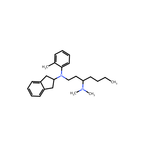 CCCCC(CCN(c1ccccc1C)C1Cc2ccccc2C1)N(C)C